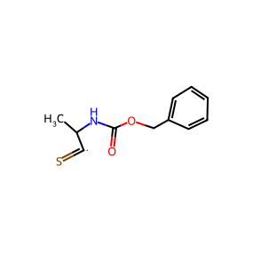 CC([C]=S)NC(=O)OCc1ccccc1